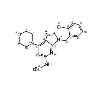 CC(C)(C)Nc1nc(N2CCOCC2)c2ncn(Cc3ccccc3Cl)c2n1